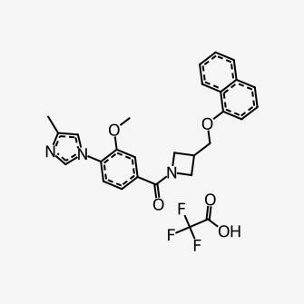 COc1cc(C(=O)N2CC(COc3cccc4ccccc34)C2)ccc1-n1cnc(C)c1.O=C(O)C(F)(F)F